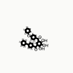 O=C(c1ccc(Oc2ccccc2)cc1)c1cc(C(=O)c2ccc(-c3ccccc3)cc2)c(O)c(O)c1O